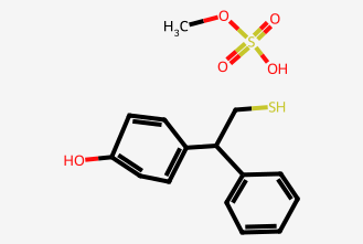 COS(=O)(=O)O.Oc1ccc(C(CS)c2ccccc2)cc1